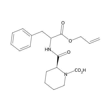 C=CCOC(=O)C(Cc1ccccc1)NC(=O)[C@@H]1CCCCN1C(=O)O